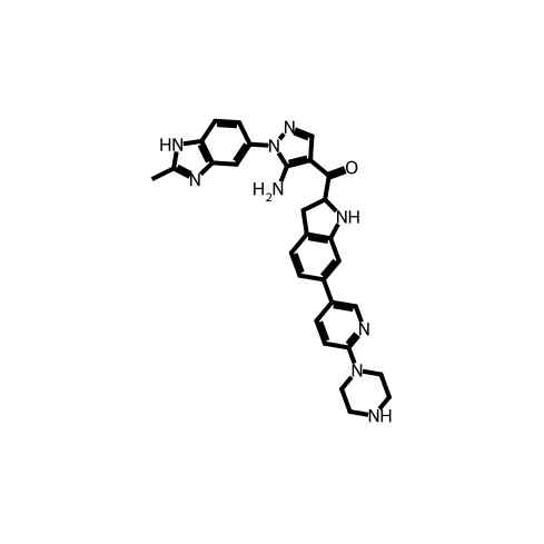 Cc1nc2cc(-n3ncc(C(=O)C4Cc5ccc(-c6ccc(N7CCNCC7)nc6)cc5N4)c3N)ccc2[nH]1